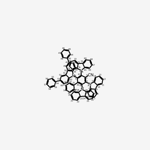 N#Cc1c(-n2c3ccccc3c3ccccc32)c(-n2c3ccccc3c3ccccc32)c(-c2ccccc2)c(-n2c3ccc(-c4ccccc4)cc3c3cc(-c4ccccc4)ccc32)c1-n1c2ccccc2c2ccccc21